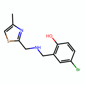 Cc1csc(CNCc2cc(Br)ccc2O)n1